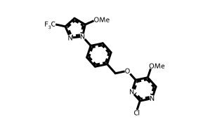 COc1cnc(Cl)nc1OCc1ccc(-n2nc(C(F)(F)F)cc2OC)cc1